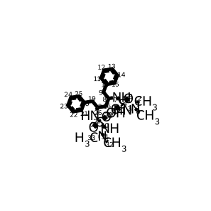 CN(C)NS(=O)(=O)NC(Cc1ccccc1)C(O)C(Cc1ccccc1)NS(=O)(=O)NN(C)C